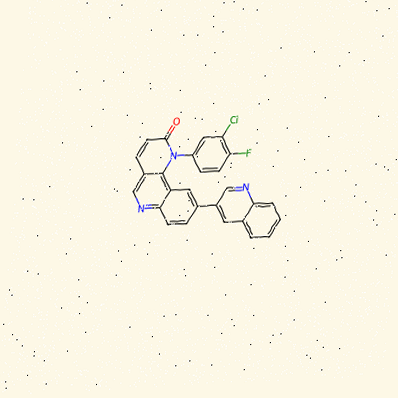 O=c1ccc2cnc3ccc(-c4cnc5ccccc5c4)cc3c2n1-c1ccc(F)c(Cl)c1